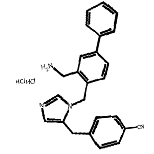 Cl.Cl.N#Cc1ccc(Cc2cncn2Cc2ccc(-c3ccccc3)cc2CN)cc1